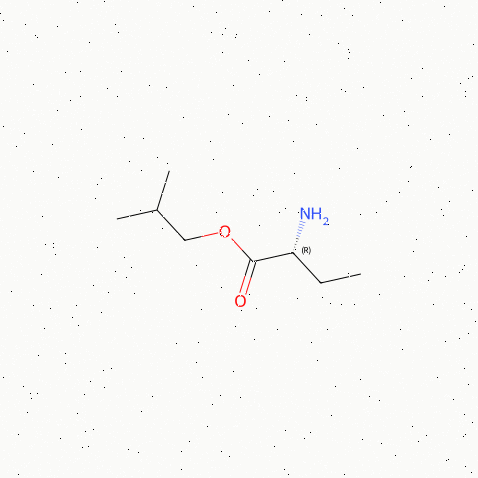 CC[C@@H](N)C(=O)OCC(C)C